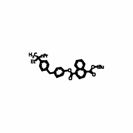 CCCC(C)(CC)c1ccc(Cc2ccc(OC(=O)c3ccc(C(=O)OC(C)(C)C)c4ccccc34)cc2)cc1